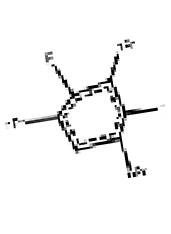 CCCc1cc(CCC)c(F)c(CCC)c1F